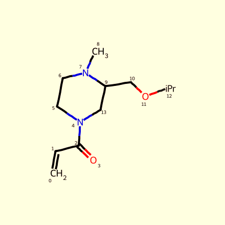 C=CC(=O)N1CCN(C)C(COC(C)C)C1